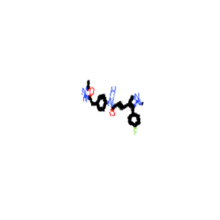 Cc1nnc(Cc2ccc(NC(=O)C=Cc3cnn(C)c3-c3ccc(F)cc3)cc2)o1